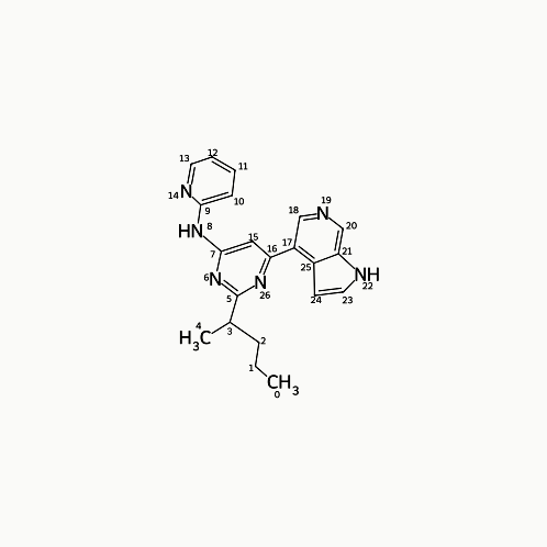 CCCC(C)c1nc(Nc2ccccn2)cc(-c2cncc3[nH]ccc23)n1